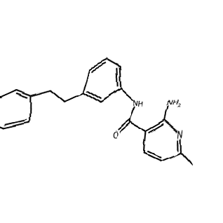 Cc1ccc(C(=O)Nc2cccc(CCc3ccccc3)c2)c(N)n1